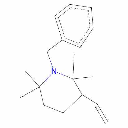 C=CC1CCC(C)(C)N(Cc2ccccc2)C1(C)C